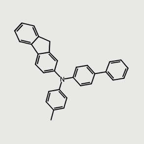 Cc1ccc(N(c2ccc(-c3ccccc3)cc2)c2ccc3c(c2)Cc2ccccc2-3)cc1